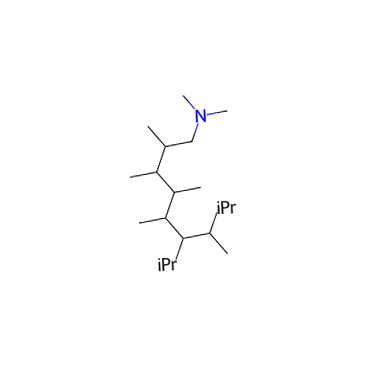 CC(C)C(C)C(C(C)C)C(C)C(C)C(C)C(C)CN(C)C